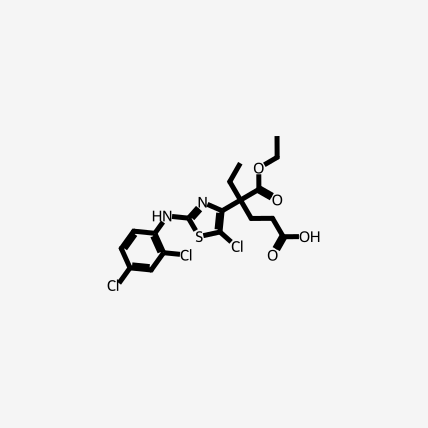 CCOC(=O)C(CC)(CCC(=O)O)c1nc(Nc2ccc(Cl)cc2Cl)sc1Cl